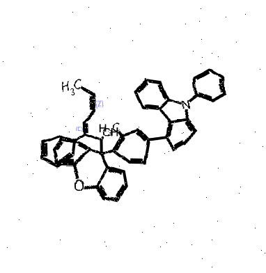 C/C=C\C=C(\c1ccccc1)C(C)C1(c2ccc(-c3cccc4c3c3ccccc3n4-c3ccccc3)cc2C)c2ccccc2Oc2ccccc21